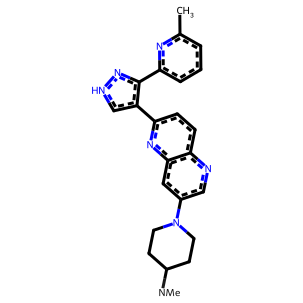 CNC1CCN(c2cnc3ccc(-c4c[nH]nc4-c4cccc(C)n4)nc3c2)CC1